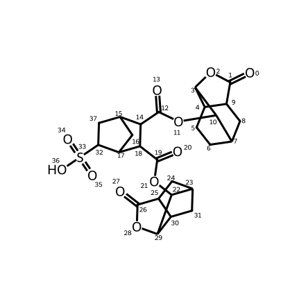 O=C1OC2C3CCC(CC13)C2OC(=O)C1C2CC(C1C(=O)OC1C3CC4C(=O)OC1C4C3)C(S(=O)(=O)O)C2